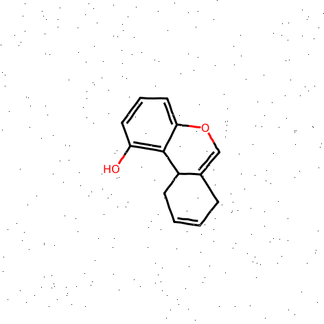 Oc1cccc2c1C1CC=CCC1=CO2